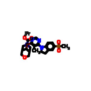 Cc1c(OC2C3COCC2CN(C(=O)OC(C)C)C3)ncnc1N1CCc2cc(S(C)(=O)=O)ccc21